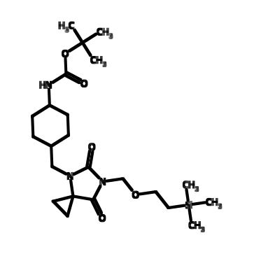 CC(C)(C)OC(=O)NC1CCC(CN2C(=O)N(COCC[Si](C)(C)C)C(=O)C23CC3)CC1